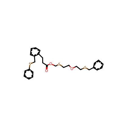 O=C(CCc1ccccc1CSc1[c]cccc1)OCSCCOCCSCc1[c]cccc1